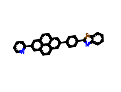 c1ccc(-c2cc3ccc4cc(-c5ccc(-c6nc7ccccc7s6)cc5)cc5ccc(c2)c3c45)nc1